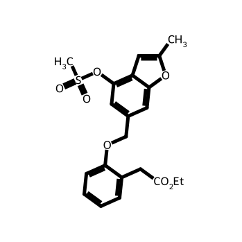 CCOC(=O)Cc1ccccc1OCc1cc(OS(C)(=O)=O)c2cc(C)oc2c1